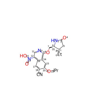 CC[C@@H]1CC(=O)N[C@@H]1COc1ncc([N+](=O)O)c2cc(C#N)c(OC(C)C)cc12